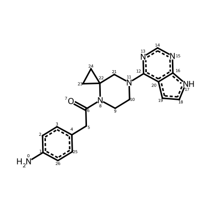 Nc1ccc(CC(=O)N2CCN(c3ncnc4[nH]ccc34)CC23CC3)cc1